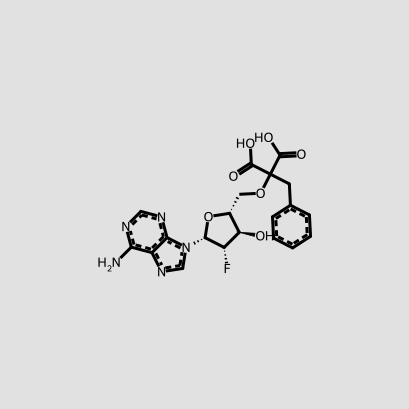 Nc1ncnc2c1ncn2[C@@H]1O[C@H](COC(Cc2ccccc2)(C(=O)O)C(=O)O)[C@@H](O)[C@@H]1F